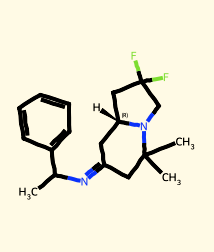 CC(N=C1C[C@@H]2CC(F)(F)CN2C(C)(C)C1)c1ccccc1